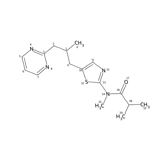 CC(Cc1ncccn1)Cc1cnc(N(C)C(=O)C(C)C)s1